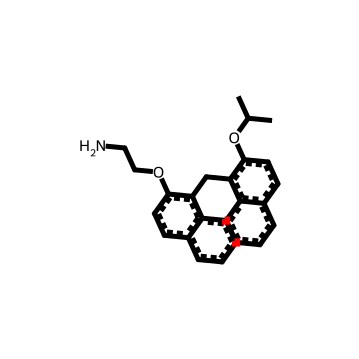 CC(C)Oc1ccc2ccccc2c1Cc1c(OCCN)ccc2ccccc12